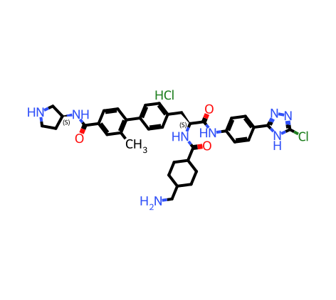 Cc1cc(C(=O)N[C@H]2CCNC2)ccc1-c1ccc(C[C@H](NC(=O)C2CCC(CN)CC2)C(=O)Nc2ccc(-c3nnc(Cl)[nH]3)cc2)cc1.Cl